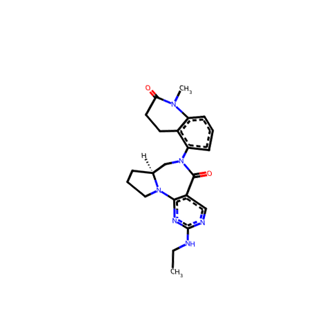 CCNc1ncc2c(n1)N1CCC[C@H]1CN(c1cccc3c1CCC(=O)N3C)C2=O